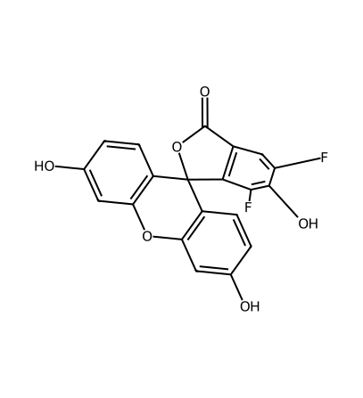 O=C1OC2(c3ccc(O)cc3Oc3cc(O)ccc32)c2c1cc(F)c(O)c2F